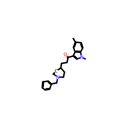 Cc1ccc2c(c1)c(C(=O)CCC1CCN(Cc3ccccc3)CC1)cn2C